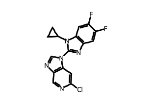 Fc1cc2nc(-n3cnc4cnc(Cl)cc43)n(C3CC3)c2cc1F